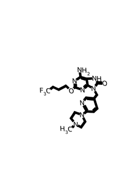 CN1CCN(c2ccc(Cn3c(=O)[nH]c4c(N)nc(OCCCC(F)(F)F)nc43)cn2)CC1